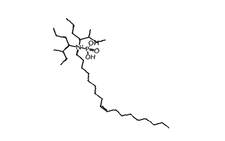 CCCCCCCC/C=C\CCCCCCCC[N+](C(CCC)C(C)CC)(C(CCC)C(C)CC)P(=O)(O)O